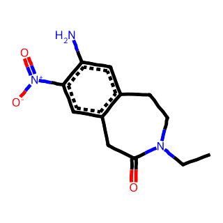 CCN1CCc2cc(N)c([N+](=O)[O-])cc2CC1=O